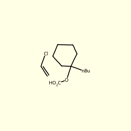 C=CCl.CCCCC1(OC(=O)O)CCCCC1